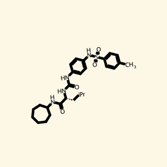 Cc1ccc(S(=O)(=O)Nc2ccc(NC(=O)N[C@H](CC(C)C)C(=O)NC3CCCCCC3)cc2)cc1